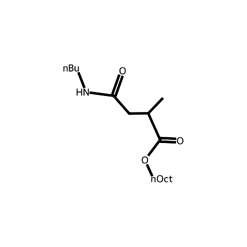 CCCCCCCCOC(=O)C(C)CC(=O)NCCCC